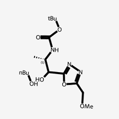 CCCCO.COCc1nnc(C(O)[C@H](C)NC(=O)OC(C)(C)C)o1